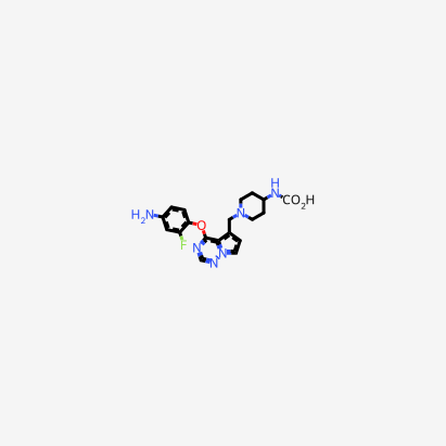 Nc1ccc(Oc2ncnn3ccc(CN4CCC(NC(=O)O)CC4)c23)c(F)c1